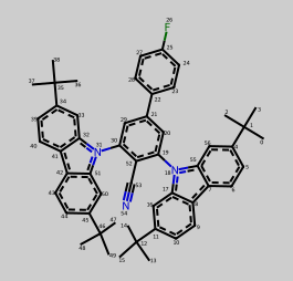 CC(C)(C)c1ccc2c3ccc(C(C)(C)C)cc3n(-c3cc(-c4ccc(F)cc4)cc(-n4c5cc(C(C)(C)C)ccc5c5ccc(C(C)(C)C)cc54)c3C#N)c2c1